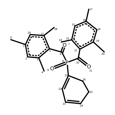 Cc1cc(C)c(C(=O)P(=O)(C(=O)c2c(C)cc(C)cc2C)C2=CC=CCC2)c(C)c1